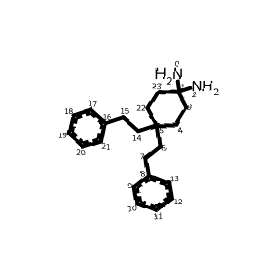 NC1(N)CCC(CCc2ccccc2)(CCc2ccccc2)CC1